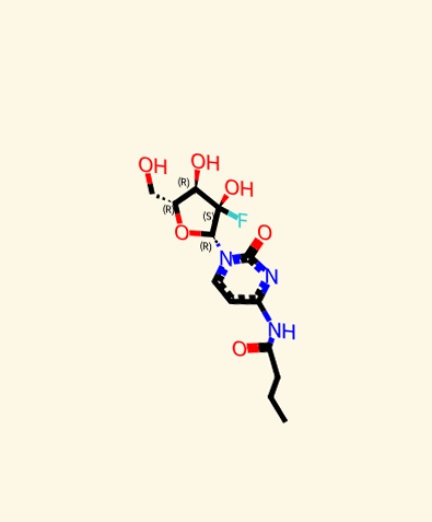 CCCC(=O)Nc1ccn([C@@H]2O[C@H](CO)[C@@H](O)[C@]2(O)F)c(=O)n1